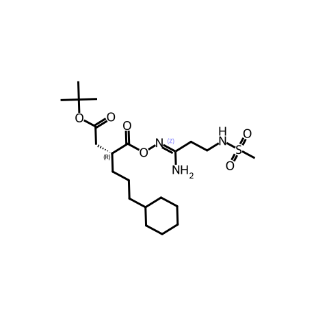 CC(C)(C)OC(=O)C[C@@H](CCCC1CCCCC1)C(=O)O/N=C(\N)CCNS(C)(=O)=O